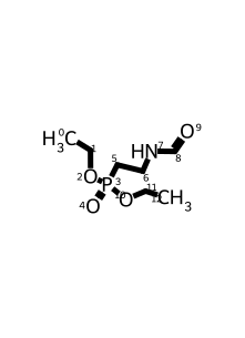 CCOP(=O)(CCNC=O)OCC